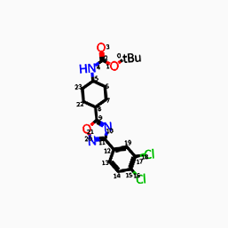 CC(C)(C)OC(=O)NC1CCC(c2nc(-c3ccc(Cl)c(Cl)c3)no2)CC1